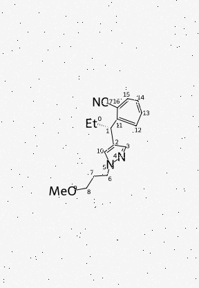 CC[C@@H](c1cnn(CCCOC)c1)c1ccccc1C#N